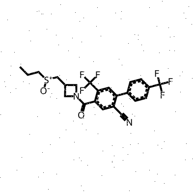 CCC[S+]([O-])CC1CN(C(=O)c2cc(C#N)c(-c3ccc(C(F)(F)F)cc3)cc2C(F)(F)F)C1